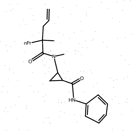 C=CCC(C)(CCC)C(=O)N(C)C1CC1C(=O)Nc1ccccc1